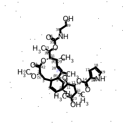 CO[C@H]1CC2C=C[C@@H]3C[C@]2(O[C@H]3[C@H](OC(=O)c2ccc[nH]2)[C@H](C)[C@H](C)O)/C(C)=C/[C@@H](C)[C@@H]([C@@H](C)OC(=O)NCCO)OC1=O